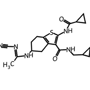 CC(=NC#N)NC1CCc2sc(NC(=O)C3CC3)c(C(=O)NCC3CC3)c2C1